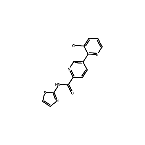 O=C(Nc1nccs1)c1ccc(-c2ncccc2Cl)cn1